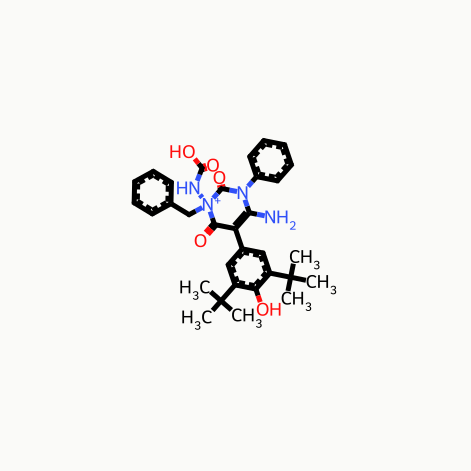 CC(C)(C)c1cc(C2=C(N)N(c3ccccc3)C(=O)[N+](Cc3ccccc3)(NC(=O)O)C2=O)cc(C(C)(C)C)c1O